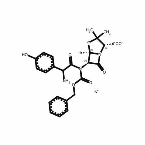 CC1(C)S[C@@H]2[C@H](N(C(=O)OCc3ccccc3)C(=O)C(N)c3ccc(O)cc3)C(=O)N2[C@H]1C(=O)[O-].[K+]